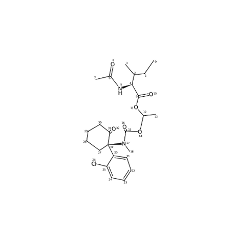 CCC(C)[C@H](NC(C)=O)C(=O)OC(C)OC(=O)N(C)[C@@]1(c2ccccc2Cl)CCCCC1=O